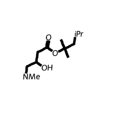 CNCC(O)CC(=O)OC(C)(C)CC(C)C